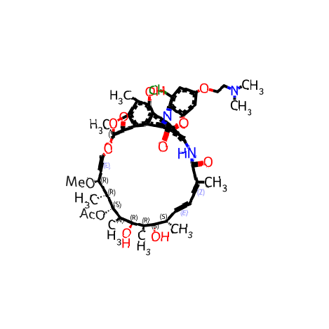 CO[C@H]1/C=C/O[C@@]2(C)Oc3c(C)c(O)c4c(=O)c(c5oc6cc(OCCN(C)C)cc(Cl)c6nc-5c4c3C2=O)NC(=O)/C(C)=C\C=C\[C@H](C)[C@H](O)[C@@H](C)[C@@H](O)[C@@H](C)[C@H](OC(C)=O)[C@@H]1C